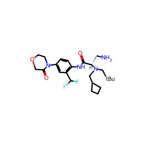 CC(C)(C)CN(CC1CCC1)[C@@H](CN)C(=O)Nc1ccc(N2CCOCC2=O)cc1C(F)F